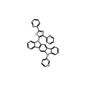 c1ccc(-c2nc(-c3ccccn3)c(-n3c4ccccc4c4cc5c(cc43)c3ccccc3n5-c3cccnc3)o2)nc1